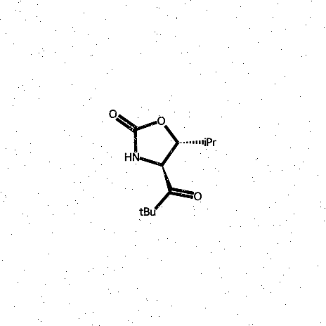 CC(C)[C@H]1OC(=O)N[C@@H]1C(=O)C(C)(C)C